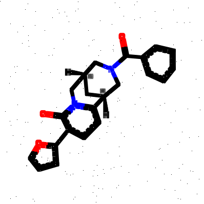 O=C(c1ccccc1)N1C[C@@H]2C[C@H](C1)c1ccc(-c3ccco3)c(=O)n1C2